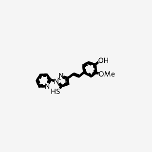 COc1cc(C=Cc2cc(S)n(-c3ccccn3)n2)ccc1O